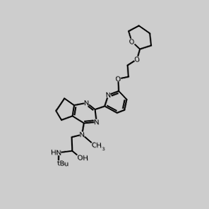 CN(CC(O)NC(C)(C)C)c1nc(-c2cccc(OCCOC3CCCCO3)n2)nc2c1CCC2